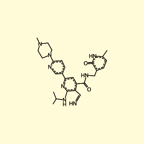 Cc1ccc(CNC(=O)c2cc(-c3ccc(N4CCN(C)CC4)nc3)nc(NC(C)C)c2C=N)c(=O)[nH]1